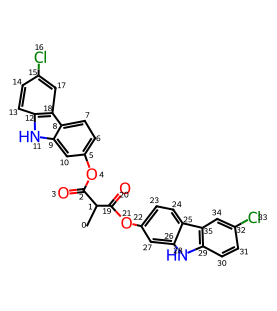 CC(C(=O)Oc1ccc2c(c1)[nH]c1ccc(Cl)cc12)C(=O)Oc1ccc2c(c1)[nH]c1ccc(Cl)cc12